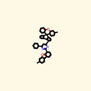 Cc1ccc2c(c1)Oc1ccccc1C21c2ccccc2-c2c(-c3cc(-c4ccccc4)nc(-c4cccc5c4oc4cc(C)ccc45)n3)cccc21